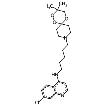 CC1(C)COC2(CCN(CCCCCNc3ccnc4cc(Cl)ccc34)CC2)OO1